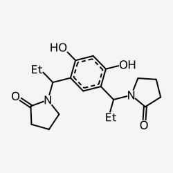 CCC(c1cc(C(CC)N2CCCC2=O)c(O)cc1O)N1CCCC1=O